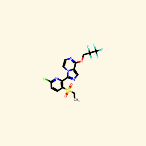 CCS(=O)(=O)c1ccc(Cl)nc1-c1ncc2c(OCC(F)(F)C(F)(F)F)nccn12